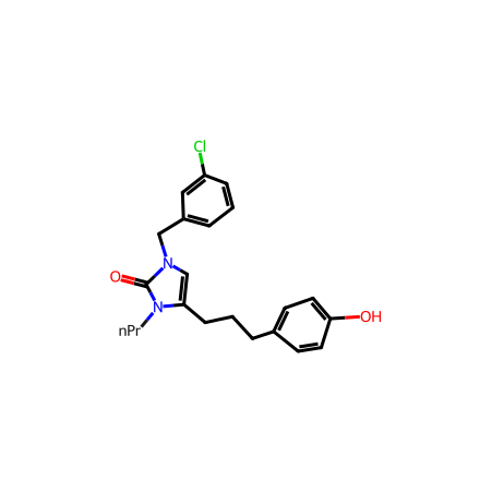 CCCn1c(CCCc2ccc(O)cc2)cn(Cc2cccc(Cl)c2)c1=O